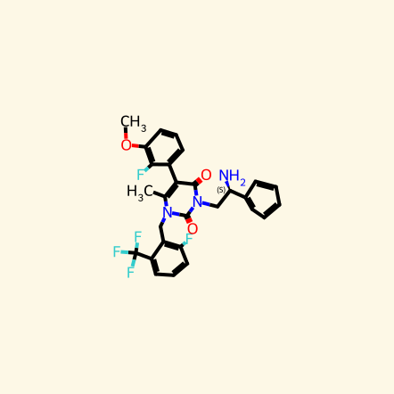 COc1cccc(-c2c(C)n(Cc3c(F)cccc3C(F)(F)F)c(=O)n(C[C@@H](N)c3ccccc3)c2=O)c1F